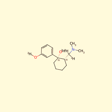 [2H]Oc1cccc([C@]2(O[2H])CCCC[C@H]2C([2H])([2H])N(C)C)c1